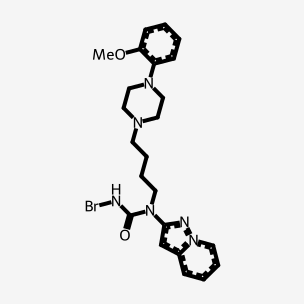 COc1ccccc1N1CCN(CCCCN(C(=O)NBr)c2cc3ccccn3n2)CC1